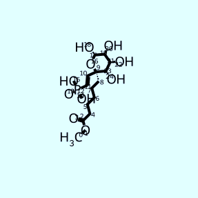 COC(=O)CCCCC[C@]1(/C=C/P(=O)(O)O)O[C@H](O)[C@@H](O)[C@@H](O)[C@@H]1O